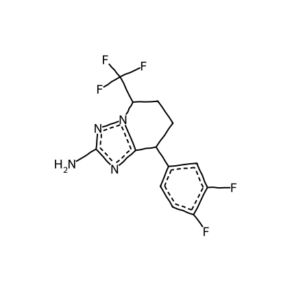 Nc1nc2n(n1)C(C(F)(F)F)CCC2c1ccc(F)c(F)c1